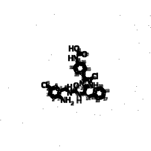 Nc1ccc(Cl)cc1CNC(=O)N[C@@H](Cc1ccccc1)c1nc(-c2ccc(NC(=O)O)cc2)c(Cl)[nH]1